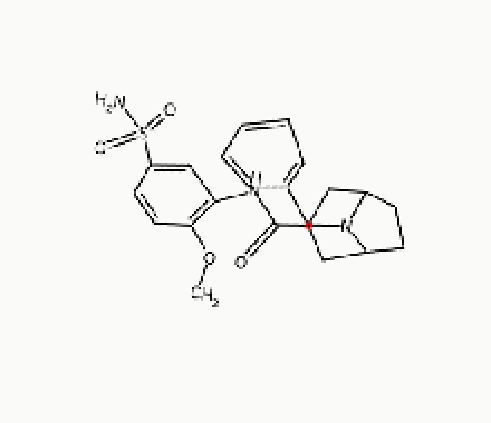 COc1ccc(S(N)(=O)=O)cc1NC(=O)C1CC2CCC(C1)N2Cc1ccccc1